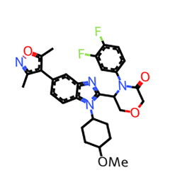 COC1CCC(n2c(C3COCC(=O)N3c3ccc(F)c(F)c3)nc3cc(-c4c(C)noc4C)ccc32)CC1